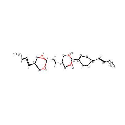 CC/C=C/[C@H]1CO[C@H](CC[C@H]2CO[C@H](C3CCC(CCC)CC3)OC2)OC1